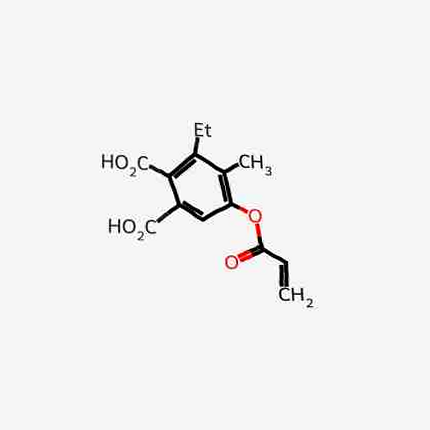 C=CC(=O)Oc1cc(C(=O)O)c(C(=O)O)c(CC)c1C